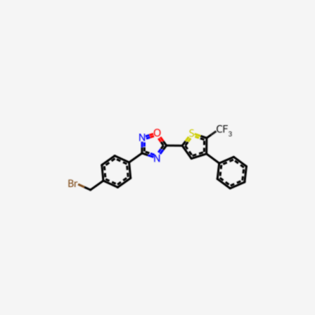 FC(F)(F)c1sc(-c2nc(-c3ccc(CBr)cc3)no2)cc1-c1ccccc1